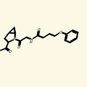 NC(=O)C1CC2CC2N1C(=O)CNC(=O)CCCOc1ccccc1